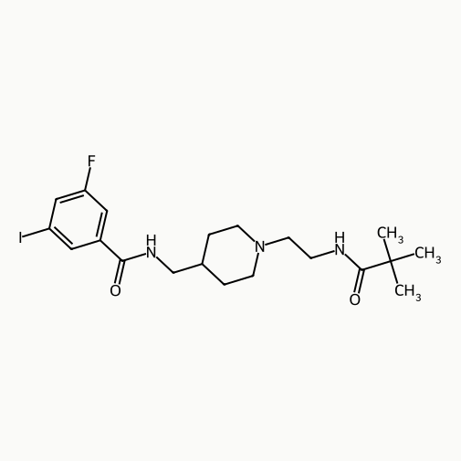 CC(C)(C)C(=O)NCCN1CCC(CNC(=O)c2cc(F)cc(I)c2)CC1